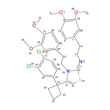 COc1ccc(CC/N=c2/scc(C3(c4ccc(Cl)c(Cl)c4)CCC3)n2CCc2ccc(OC)c(OC)c2)cc1OC